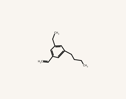 C=Cc1cc(CC)cc(CCCC)c1